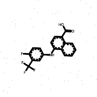 O=C(O)c1ccc(Nc2ccc(F)c(C(F)(F)F)c2)c2ccccc12